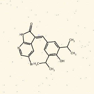 CC(C)c1cc(/C=C2/C(=O)Nc3ncc(Br)cc32)cc(C(C)C)c1O